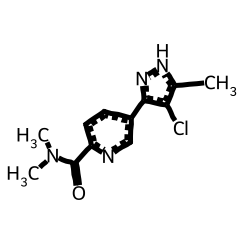 Cc1[nH]nc(-c2ccc(C(=O)N(C)C)nc2)c1Cl